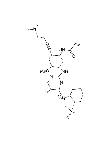 C=CC(=O)NC1CC(NC2NCC(Cl)C(NC3CCCCC3P(C)(C)=O)N2)C(OC)CC1C#CCCN(C)C